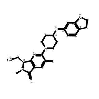 Cc1cc2c(nc1N1CCC(Oc3ccc4c(c3)OCC4)CC1)[C@H](CO)N(C)C2=O